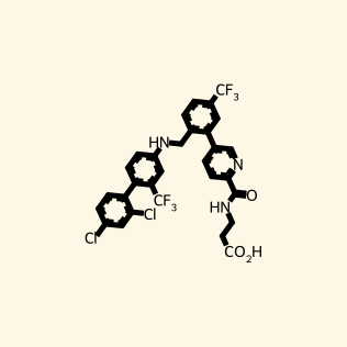 O=C(O)CCNC(=O)c1ccc(-c2cc(C(F)(F)F)ccc2CNc2ccc(-c3ccc(Cl)cc3Cl)c(C(F)(F)F)c2)cn1